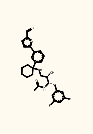 CC(=O)N[C@@H](Cc1cc(F)cc(F)c1)[C@H](O)CNC1(c2cccc(-c3ccc(C=O)s3)c2)CCCCC1